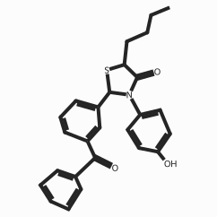 CCCCC1SC(c2cccc(C(=O)c3ccccc3)c2)N(c2ccc(O)cc2)C1=O